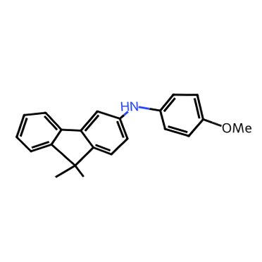 COc1ccc(Nc2ccc3c(c2)-c2ccccc2C3(C)C)cc1